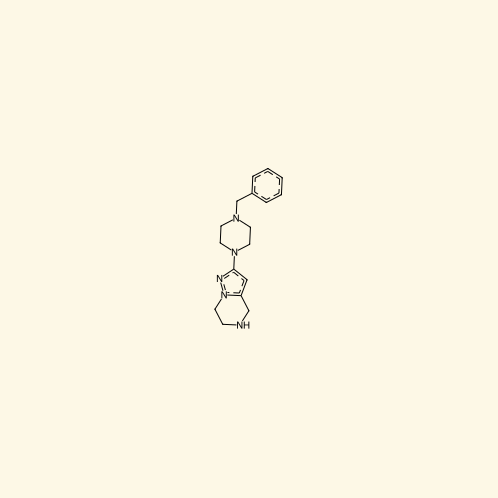 c1ccc(CN2CCN(c3cc4n(n3)CCNC4)CC2)cc1